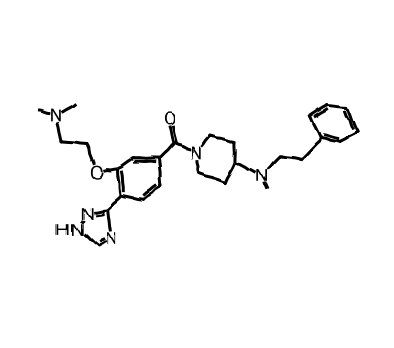 CN(C)CCOc1cc(C(=O)N2CCC(N(C)CCc3ccccc3)CC2)ccc1-c1nc[nH]n1